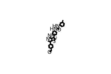 Cc1cccc(NC(=O)Nc2ccc(-c3csc4c(-c5ccc(C=O)cc5)cnc(N)c34)cc2)c1